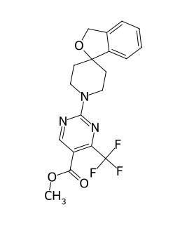 COC(=O)c1cnc(N2CCC3(CC2)OCc2ccccc23)nc1C(F)(F)F